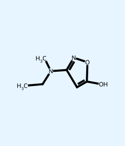 CCN(C)c1cc(O)on1